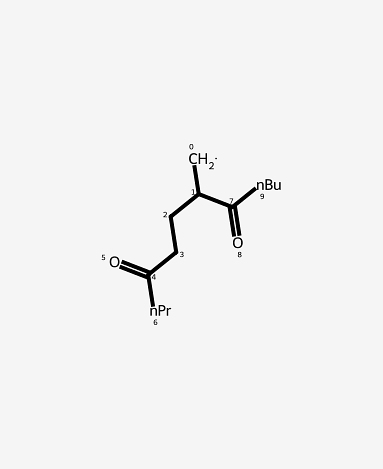 [CH2]C(CCC(=O)CCC)C(=O)CCCC